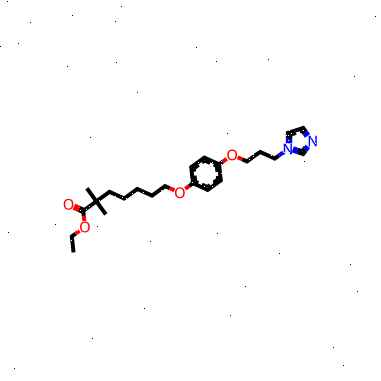 CCOC(=O)C(C)(C)CCCCCOc1ccc(OCCCn2ccnc2)cc1